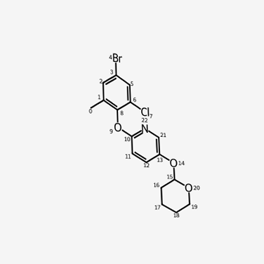 Cc1cc(Br)cc(Cl)c1Oc1ccc(OC2CCCCO2)cn1